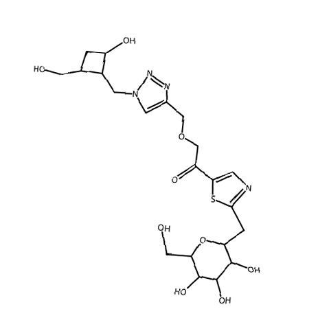 O=C(COCc1cn(CC2C(O)CC2CO)nn1)c1cnc(CC2OC(CO)C(O)C(O)C2O)s1